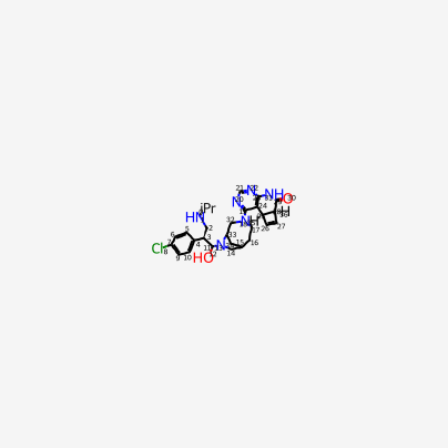 CC(C)NC[C@H](c1ccc(Cl)cc1)C(O)N1CC2CCN(c3ncnc4c3[C@@H]3C=C[C@@H]3C(=O)N4)CC1C2